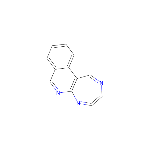 C1=CN=Cc2c(ncc3ccccc23)N=1